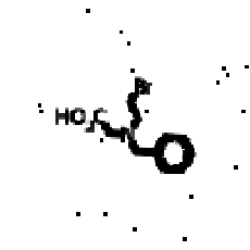 O=C(O)CN(CCBr)Cc1ccccc1